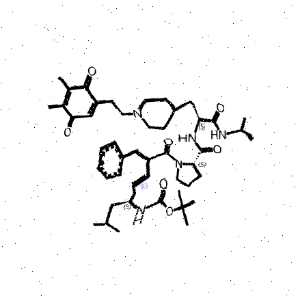 CC1=C(C)C(=O)C(CCN2CCC(C[C@H](NC(=O)[C@@H]3CCCN3C(=O)C(/C=C/[C@H](CC(C)C)NC(=O)OC(C)(C)C)Cc3ccccc3)C(=O)NC(C)C)CC2)=CC1=O